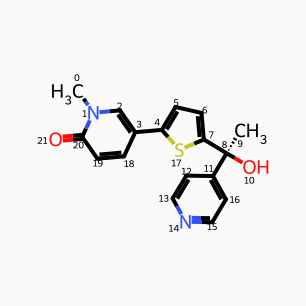 Cn1cc(-c2ccc([C@@](C)(O)c3ccncc3)s2)ccc1=O